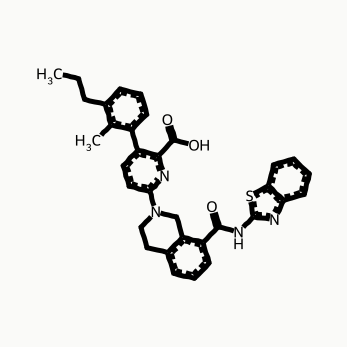 CCCc1cccc(-c2ccc(N3CCc4cccc(C(=O)Nc5nc6ccccc6s5)c4C3)nc2C(=O)O)c1C